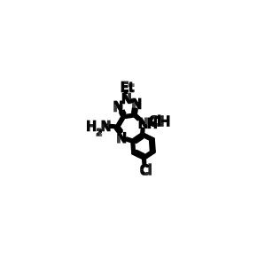 CCn1nc2c(n1)C(N)=Nc1cc(Cl)ccc1N2.Cl